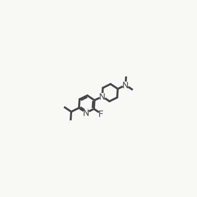 CC(C)c1ccc(N2CCC(N(C)C)CC2)c(F)n1